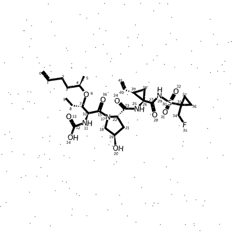 C=CCC[C@@H](C)O[C@@H](CC)[C@H](NC(=O)O)C(=O)N1C[C@H](O)C[C@H]1C(=O)N[C@]1(C(=O)NS(=O)(=O)C2(CF)CC2)C[C@H]1C=C